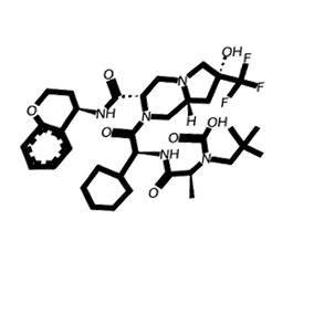 C[C@@H](C(=O)N[C@H](C(=O)N1C[C@H]2C[C@](O)(C(F)(F)F)CN2C[C@H]1C(=O)N[C@@H]1CCOc2ccccc21)C1CCCCC1)N(CC(C)(C)C)C(=O)O